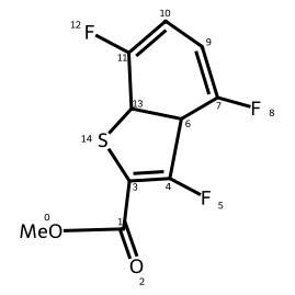 COC(=O)C1=C(F)C2C(F)=CC=C(F)C2S1